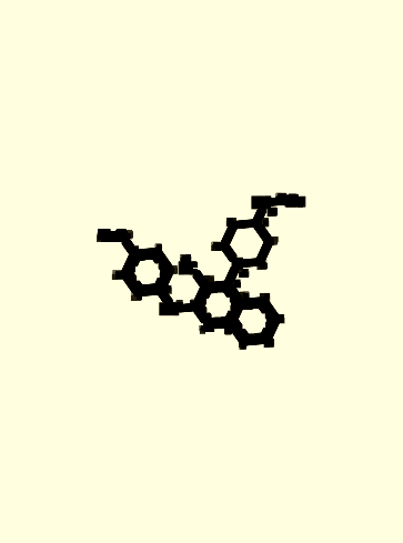 COc1ccc(Nc2nc3ccccc3c(N3CCC(NC(C)(C)C)CC3)c2C#N)cc1